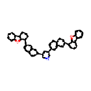 c1ccc2c(c1)oc1c(-c3ccc4ccc(-c5cncc(-c6ccc7ccc(-c8cccc9c8oc8ccccc89)cc7c6)c5)cc4c3)cccc12